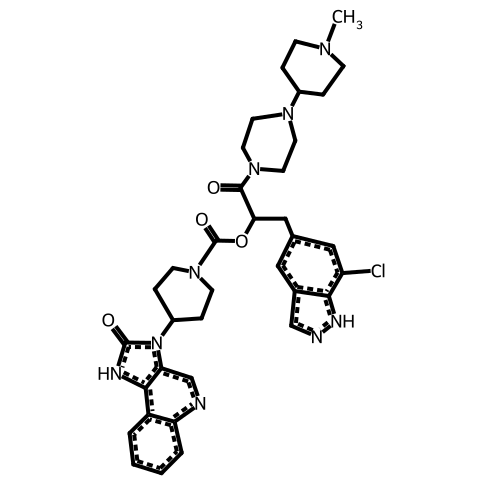 CN1CCC(N2CCN(C(=O)C(Cc3cc(Cl)c4[nH]ncc4c3)OC(=O)N3CCC(n4c(=O)[nH]c5c6ccccc6ncc54)CC3)CC2)CC1